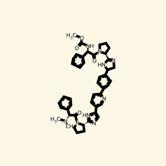 COC(=O)N[C@@H](C(=O)N1CCC[C@H]1C1=NCC(c2ccc(-c3ccc(-c4cnc([C@@H]5CCCN5C(=O)[C@@H](c5ccccc5)N(C)C)[nH]4)cn3)cc2)N1)c1ccccc1